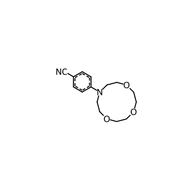 N#Cc1ccc(N2CCOCCOCCOCC2)cc1